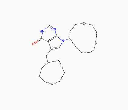 O=c1[nH]cnc2c1c(CC1CCCCCCCC1)cn2C1CCCCCCCCC1